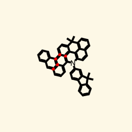 CC1(C)c2ccccc2-c2ccc(N(c3ccc4cccc5c4c3-c3cc(-c4cccc6ccccc46)ccc3C5(C)C)c3cccc4ccccc34)cc21